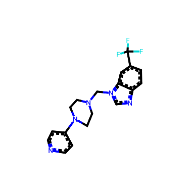 FC(F)(F)c1ccc2ncn(CN3CCN(c4ccncc4)CC3)c2c1